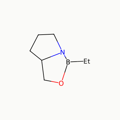 CCB1OCC2CCCN12